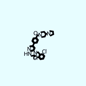 O=C(c1ccc(-c2cnc3c(c2)N(Cc2c(Cl)cccc2Cl)C(=O)CN3)cc1)N1CCC(N2CCCC2)CC1